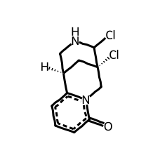 O=c1cccc2n1C[C@@]1(Cl)C[C@@H]2CNC1Cl